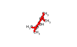 CC/C=C\CCCCOC(CCC(=O)OCCCCCCCN(CCO)CCCCCCOC(=O)CCC(OCCCC/C=C\CC)OCCCC/C=C\CC)OCCCC/C=C\CC